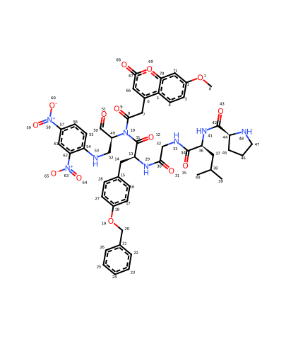 COc1ccc2c(CC(=O)N(C(=O)[C@H](Cc3ccc(OCc4ccccc4)cc3)NC(=O)CNC(=O)[C@H](CC(C)C)NC(=O)[C@@H]3CCCN3)[C@H]([C]=O)CNc3ccc([N+](=O)[O-])cc3[N+](=O)[O-])cc(=O)oc2c1